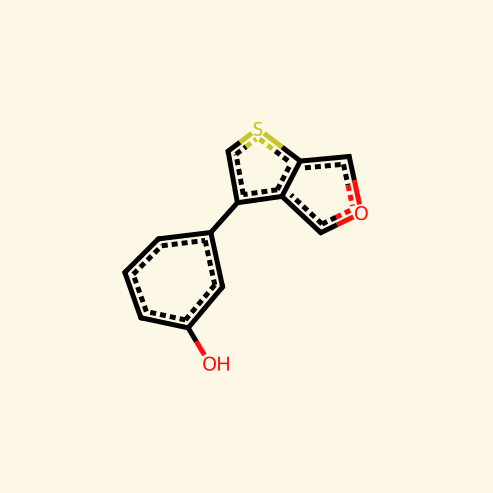 Oc1cccc(-c2csc3cocc23)c1